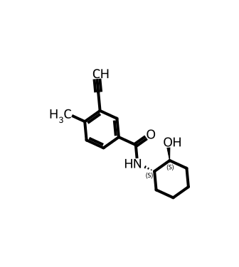 C#Cc1cc(C(=O)N[C@H]2CCCC[C@@H]2O)ccc1C